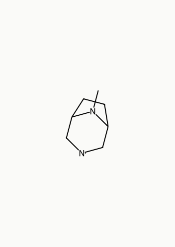 CN1C2CCC1C[N]C2